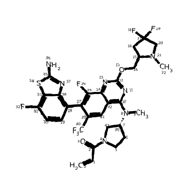 C=CC(=O)N1CC[C@@H](N(C)c2nc(OCC3CC(F)(F)CN3C)nc3c(F)c(-c4ccc(F)c5sc(N)nc45)c(C(F)(F)F)cc23)C1